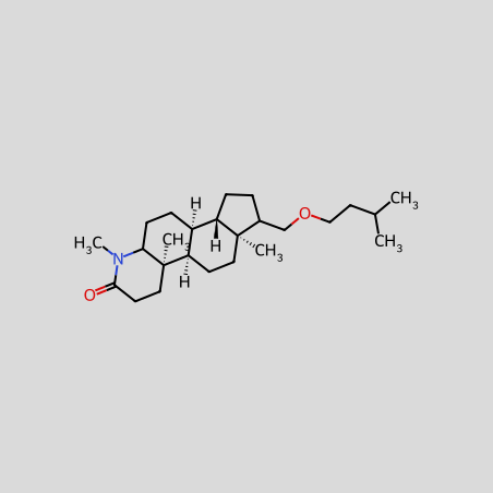 CC(C)CCOCC1CC[C@H]2[C@@H]3CCC4N(C)C(=O)CC[C@]4(C)[C@@H]3CC[C@]12C